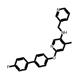 Cc1cc(Oc2ccc(-c3ccc(F)cc3)cc2)ncc1NCc1cccnc1